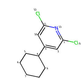 Clc1cc(C2CCCCC2)cc(Cl)n1